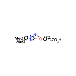 COc1ccc(-c2ncc(C)c(N(C)CCCOc3ccc4c(c3)CC[C@H]4CC(=O)O)n2)cc1OC